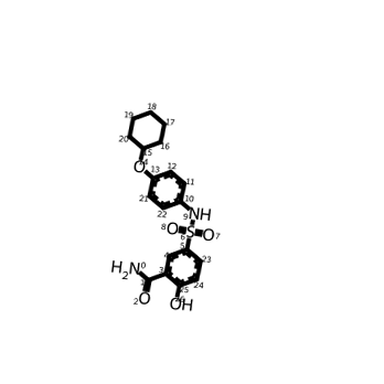 NC(=O)c1cc(S(=O)(=O)Nc2ccc(OC3CCCCC3)cc2)ccc1O